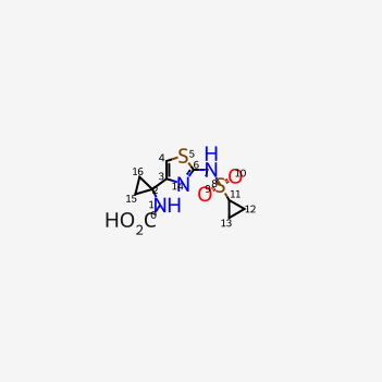 O=C(O)NC1(c2csc(NS(=O)(=O)C3CC3)n2)CC1